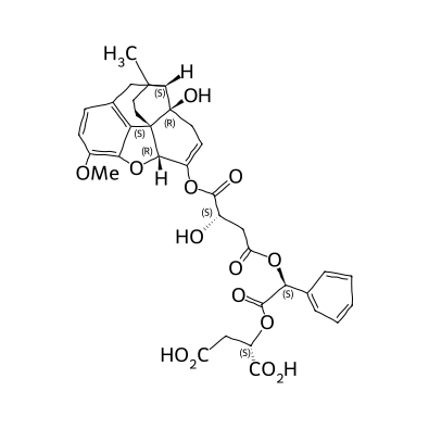 COc1ccc2c3c1O[C@H]1C(OC(=O)[C@@H](O)CC(=O)O[C@H](C(=O)O[C@@H](CC(=O)O)C(=O)O)c4ccccc4)=CC[C@@]4(O)[C@@H](C2)C(C)CC[C@]314